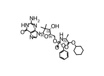 C[C@H](NP(=O)(OC[C@H]1O[C@@H](n2cnc3c(=O)[nH]c(N)nc32)C(C)(C)[C@@H]1O)Oc1ccccc1)C(=O)OC1CCCCC1